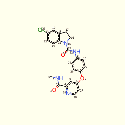 CNC(=O)c1cc(Oc2ccc(NC(=O)N3CCc4cc(Cl)ccc43)cc2)ccn1